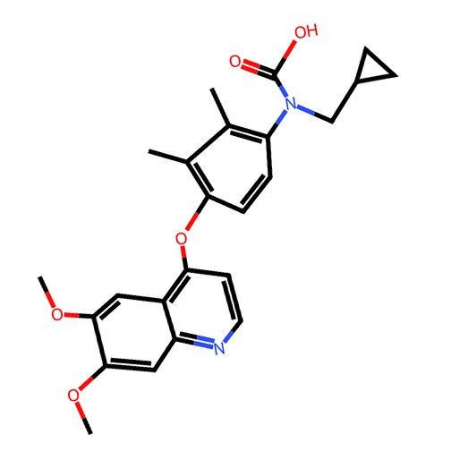 COc1cc2nccc(Oc3ccc(N(CC4CC4)C(=O)O)c(C)c3C)c2cc1OC